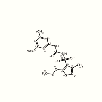 COc1cc(C)nc(NC(=O)NS(=O)(=O)c2c(C)nsc2OCC(F)(F)F)n1